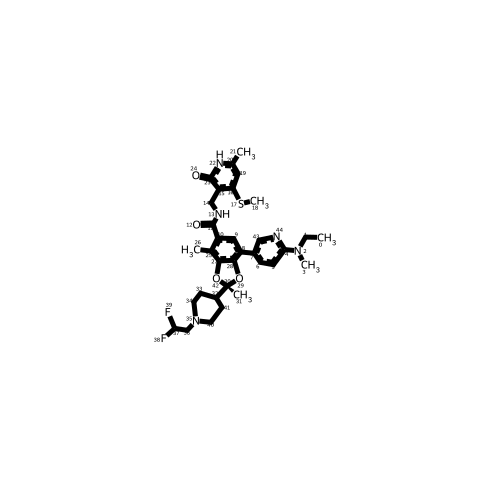 CCN(C)c1ccc(-c2cc(C(=O)NCc3c(SC)cc(C)[nH]c3=O)c(C)c3c2O[C@](C)(C2CCN(CC(F)F)CC2)O3)cn1